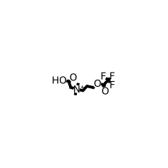 C[N+](C)(CCCOC(=O)C(F)(F)F)CC(=O)O